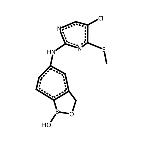 CSc1nc(Nc2ccc3c(c2)COB3O)ncc1Cl